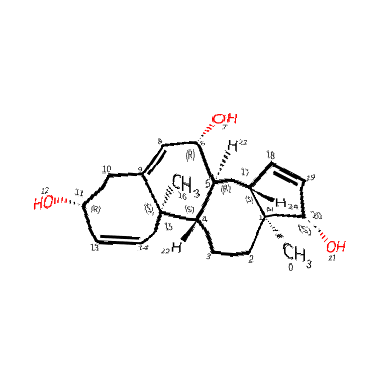 C[C@]12CC[C@H]3[C@@H]([C@@H](O)C=C4C[C@@H](O)C=C[C@@]43C)[C@@H]1C=C[C@@H]2O